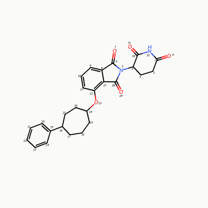 O=C1CCC(N2C(=O)c3cccc(OC4CCCC(c5ccccc5)CC4)c3C2=O)C(=O)N1